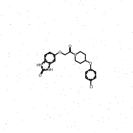 O=C(COc1ccc2[nH]c(=O)[nH]c2c1)N1CCC(Oc2ccc(Cl)cc2)CC1